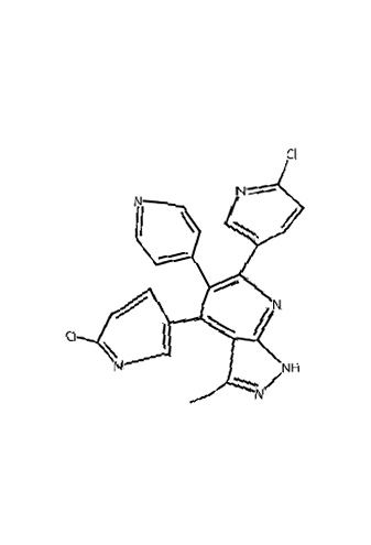 Cc1n[nH]c2nc(-c3ccc(Cl)nc3)c(-c3ccncc3)c(-c3ccc(Cl)nc3)c12